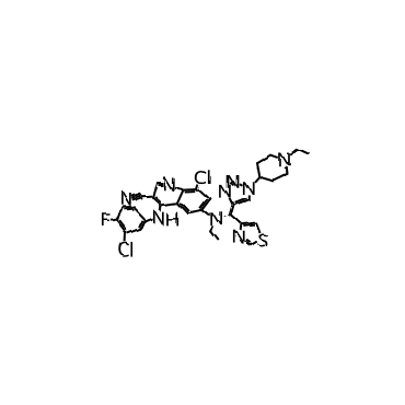 CCN1CCC(n2cc([C@H](c3cscn3)N(CC)c3cc(Cl)c4ncc(C#N)c(Nc5ccc(F)c(Cl)c5)c4c3)nn2)CC1